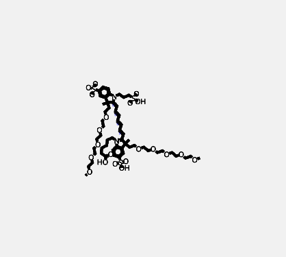 COCCOCCOCCOCCOCCC1(C)C(/C=C/C=C/C=C/C=C2/N(CCCS(=O)(=O)O)c3ccc(S(=O)(=O)[O-])cc3C2(C)CCOCCOCCOCCOCCOC)=[N+](CCCCCC(=O)O)c2ccc(S(=O)(=O)O)cc21